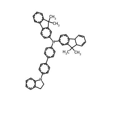 CC1(C)c2ccccc2-c2ccc(N(c3ccc(-c4ccc(N5CCc6ccccc65)cc4)cc3)c3ccc4c(c3)C(C)(C)C3C=CC=CC43)cc21